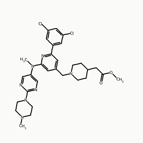 COC(=O)CC1CCN(Cc2cc(-c3cc(Cl)cc(Cl)c3)nc(N(C)c3cnc(N4CCN(C)CC4)nc3)c2)CC1